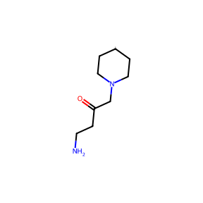 NCCC(=O)CN1CC[CH]CC1